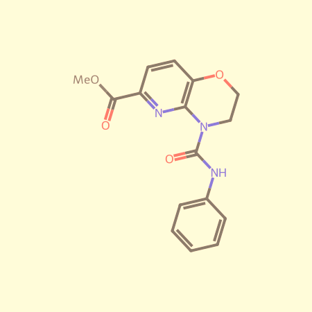 COC(=O)c1ccc2c(n1)N(C(=O)Nc1ccccc1)CCO2